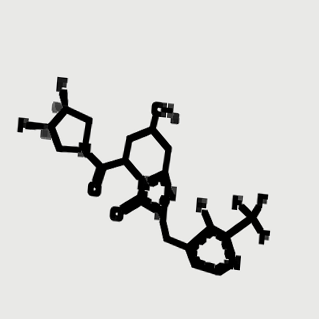 CC1Cc2nn(Cc3ccnc(C(F)(F)F)c3F)c(=O)n2C(C(=O)N2C[C@@H](F)[C@@H](F)C2)C1